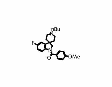 CCCCN1CCC2(CC1)CN(C(=O)c1ccc(OC)cc1)c1ccc(F)cc12